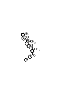 CCc1cccc(CC)c1NC(=O)c1nn(C)c2c1CCc1cnc(Nc3ccc(C(=O)N4CCC(N5CCCC5)CC4)cc3C)nc1-2